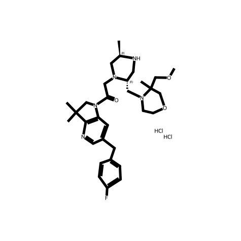 COCC1(C)COCCN1C[C@H]1CN[C@H](C)CN1CC(=O)N1CC(C)(C)c2ncc(Cc3ccc(F)cc3)cc21.Cl.Cl